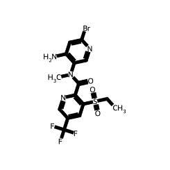 CCS(=O)(=O)c1cc(C(F)(F)F)cnc1C(=O)N(C)c1cnc(Br)cc1N